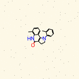 Cc1ccccc1N1CCc2c1c1cccc(C)c1[nH]c2=O